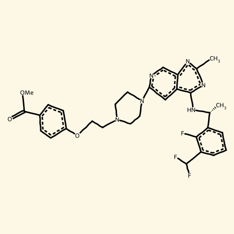 COC(=O)c1ccc(OCCN2CCN(c3cc4c(N[C@H](C)c5cccc(C(F)F)c5F)nc(C)nc4cn3)CC2)cc1